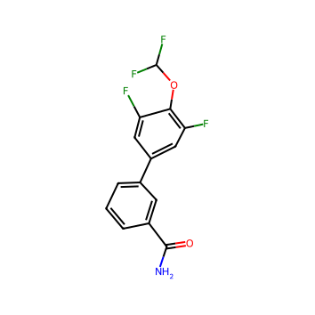 NC(=O)c1cccc(-c2cc(F)c(OC(F)F)c(F)c2)c1